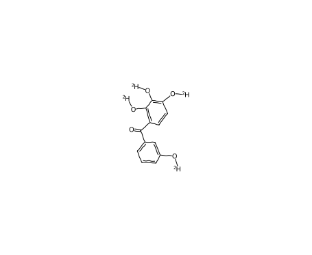 [2H]Oc1cccc(C(=O)c2ccc(O[2H])c(O[2H])c2O[2H])c1